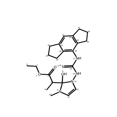 CCOC(=O)C(C)C1(O)N(C)C=CN1NC(=S)Nc1c2c(cc3c1CCC3)CCC2